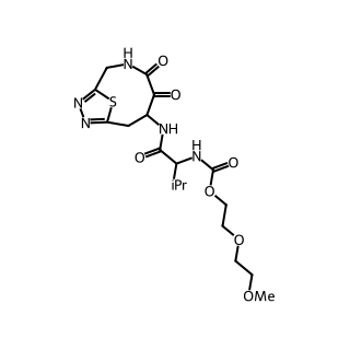 COCCOCCOC(=O)NC(C(=O)NC1Cc2nnc(s2)CNC(=O)C1=O)C(C)C